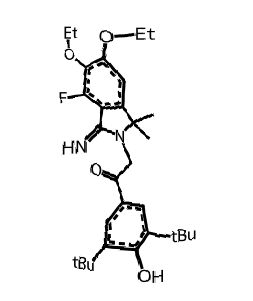 CCOc1cc2c(c(F)c1OCC)C(=N)N(CC(=O)c1cc(C(C)(C)C)c(O)c(C(C)(C)C)c1)C2(C)C